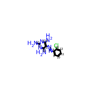 Nc1nc(N)c(N=Nc2ccccc2Cl)c(N)n1